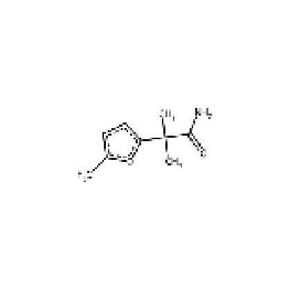 CC(C)(C(N)=O)c1ccc(C(F)(F)F)o1